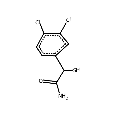 NC(=O)C(S)c1ccc(Cl)c(Cl)c1